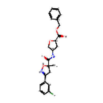 CC1(C(=O)N[C@H]2CO[C@@H](C(=O)OCc3ccccc3)C2)CC(c2cccc(F)c2)=NO1